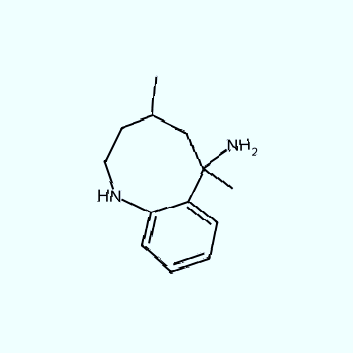 CC1CCNc2ccccc2C(C)(N)C1